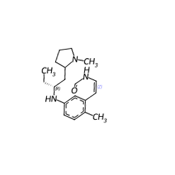 CC[C@H](CC1CCCN1C)Nc1ccc(C)c(/C=C\NC=O)c1